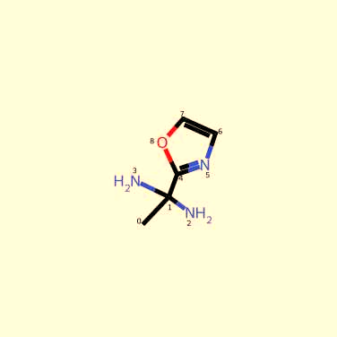 CC(N)(N)c1ncco1